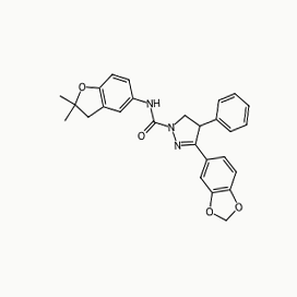 CC1(C)Cc2cc(NC(=O)N3CC(c4ccccc4)C(c4ccc5c(c4)OCO5)=N3)ccc2O1